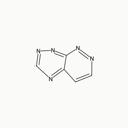 [c]1nnc2nnccc2n1